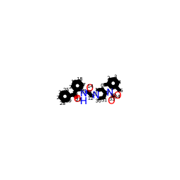 Cc1cccc2c1N(C1CCN(CC(=O)Nc3ccccc3C(=O)c3ccccc3)CC1)C(=O)OC2